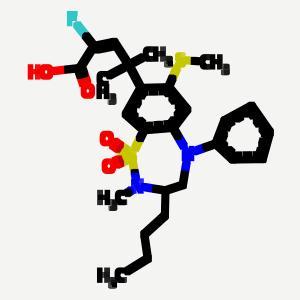 CCCCC1CN(c2ccccc2)c2cc(SC)c(C(C)(C)/C=C(/F)C(=O)O)cc2S(=O)(=O)N1C